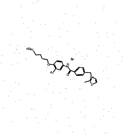 CCCCCCCCCCCCCCOc1ccc(NC(=O)c2ccc(C[n+]3ccsc3C)cc2)cc1C(C)=O.[Br-]